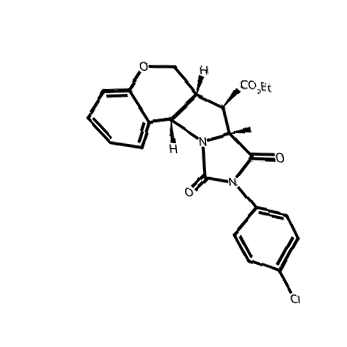 CCOC(=O)[C@@H]1[C@H]2COc3ccccc3[C@H]2N2C(=O)N(c3ccc(Cl)cc3)C(=O)[C@@]12C